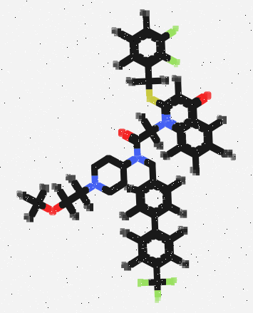 [2H]c1c([2H])c(F)c(F)c(C([2H])([2H])Sc2c([2H])c(=O)c3c([2H])c(C)c([2H])c([2H])c3n2C([2H])([2H])C(=O)N(Cc2c([2H])c([2H])c(-c3c([2H])c([2H])c(C(F)(F)F)c([2H])c3[2H])c([2H])c2[2H])C2CCN(C([2H])([2H])C([2H])([2H])OC([2H])([2H])[2H])CC2)c1[2H]